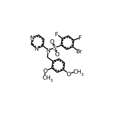 COc1ccc(CN(c2ccncn2)S(=O)(=O)c2cc(Br)c(F)cc2F)c(OC)c1